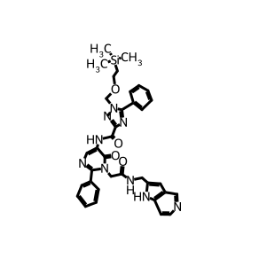 C[Si](C)(C)CCOCn1nc(C(=O)Nc2cnc(-c3ccccc3)n(CC(=O)NCc3cc4cnccc4[nH]3)c2=O)nc1-c1ccccc1